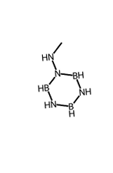 CNN1BNBNB1